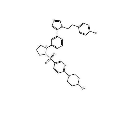 O=S(=O)(c1ccc(N2CCC(O)CC2)nc1)N1CCC[C@H]1c1cccc(-c2cncn2CCc2ccc(F)cc2)c1